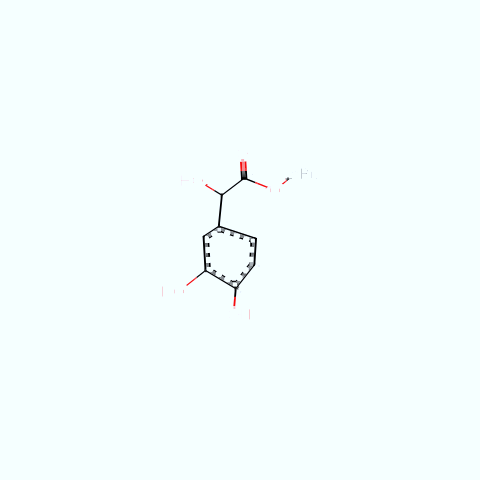 CCCCOC(=O)C(O)c1ccc(O)c(O)c1